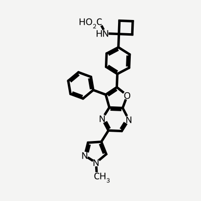 Cn1cc(-c2cnc3oc(-c4ccc(C5(NC(=O)O)CCC5)cc4)c(-c4ccccc4)c3n2)cn1